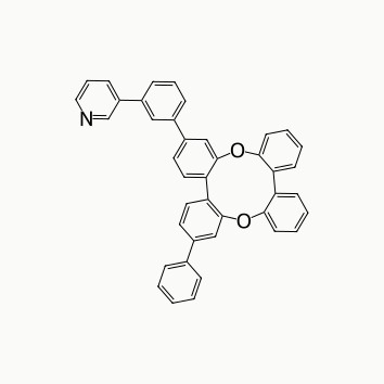 c1ccc(-c2ccc3c(c2)Oc2ccccc2-c2ccccc2Oc2cc(-c4cccc(-c5cccnc5)c4)ccc2-3)cc1